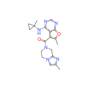 Cc1cn2c(n1)CN(C(=O)c1c(C)oc3ncnc(NC4(C)CC4)c13)CC2